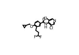 O=C(Nc1c(Cl)cncc1Cl)c1ccc(OCC2CC2)c(CCC(F)F)c1